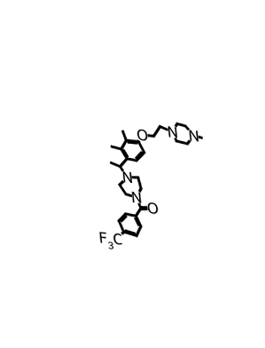 Cc1c(OCCN2CCN(C)CC2)ccc(C(C)N2CCN(C(=O)c3ccc(C(F)(F)F)cc3)CC2)c1C